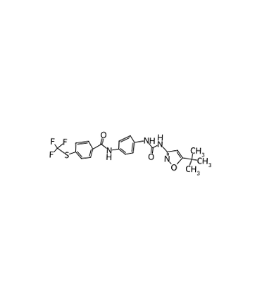 CC(C)(C)c1cc(NC(=O)Nc2ccc(NC(=O)c3ccc(SC(F)(F)F)cc3)cc2)no1